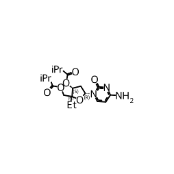 CC[C@]1(COC(=O)C(C)C)O[C@@H](n2ccc(N)nc2=O)C[C@@H]1OC(=O)C(C)C